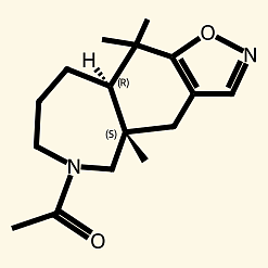 CC(=O)N1CCC[C@H]2C(C)(C)c3oncc3C[C@]2(C)C1